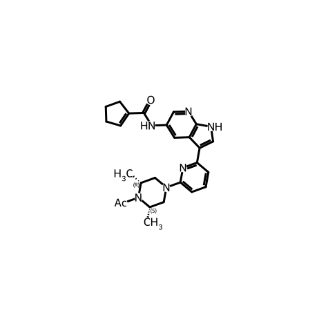 CC(=O)N1[C@H](C)CN(c2cccc(-c3c[nH]c4ncc(NC(=O)C5=CCCC5)cc34)n2)C[C@@H]1C